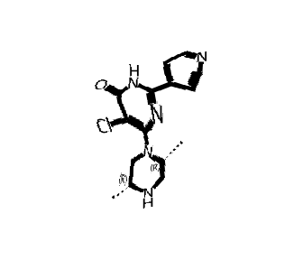 C[C@@H]1CN(c2nc(-c3ccncc3)[nH]c(=O)c2Cl)[C@H](C)CN1